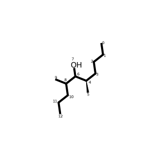 CCCC[C@@H](C)C(O)C(C)CCC